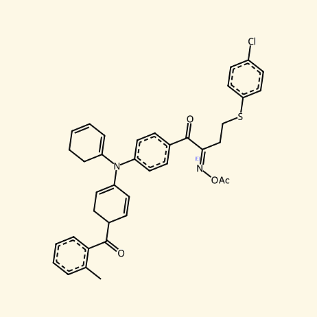 CC(=O)O/N=C(\CCSc1ccc(Cl)cc1)C(=O)c1ccc(N(C2=CCC(C(=O)c3ccccc3C)C=C2)C2=CC=CCC2)cc1